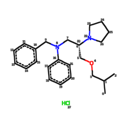 CC(C)COC[C@H](CN(Cc1ccccc1)c1ccccc1)N1CCCC1.Cl